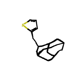 c1csc(CC2C3CC4CC(C3)CC2C4)c1